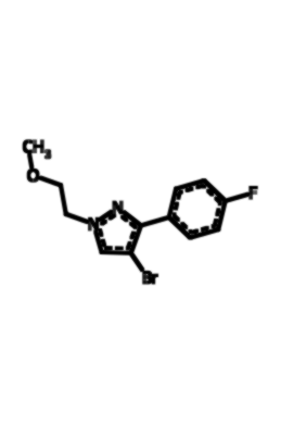 COCCn1cc(Br)c(-c2ccc(F)cc2)n1